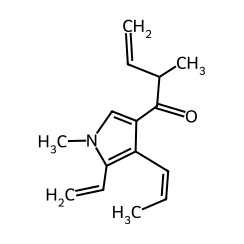 C=Cc1c(/C=C\C)c(C(=O)C(C)C=C)cn1C